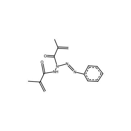 C=C(C)C(=O)NN(N=Nc1ccccc1)C(=O)C(=C)C